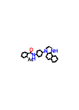 CC(=O)c1ccccc1C(=O)Nc1ccc(N2C=CCNc3c2ccc2ccccc32)cc1